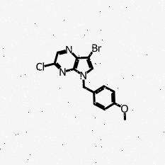 COc1ccc(Cn2cc(Br)c3ncc(Cl)nc32)cc1